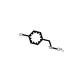 C[Te]Cc1ccc(Cl)cc1